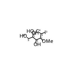 COC(C(I)C(=O)O)C(O)C(O)CO